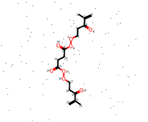 C=C(C)C(=O)CCOOC(=O)CCC(=O)OOCCC(=O)C(=C)C